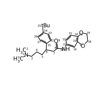 CN(C)CCCC(CC(=O)Nc1ccc2c(c1)OCCO2)c1ccc(C(C)(C)C)cc1